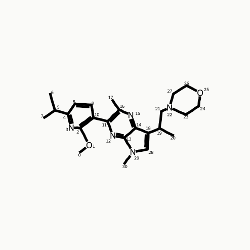 COc1nc(C(C)C)ccc1-c1nc2c(nc1C)c(C(C)CN1CCOCC1)cn2C